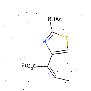 C/C=C(/C(=O)OCC)c1csc(NC(C)=O)n1